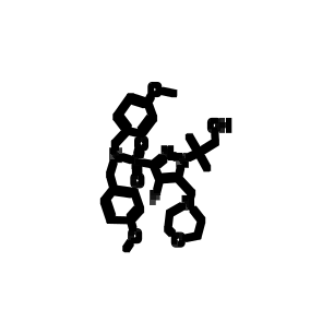 COc1ccc(CN(Cc2ccc(OC)cc2)S(=O)(=O)c2nn(C(C)(C)CO)c(CN3CCOCC3)c2F)cc1